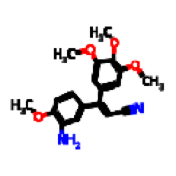 COc1ccc(C(=CC#N)c2cc(OC)c(OC)c(OC)c2)cc1N